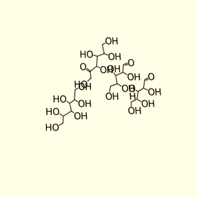 O=C(CO)C(O)C(O)C(O)CO.O=CC(O)C(O)C(O)CO.O=CC(O)C(O)C(O)CO.OCC(O)C(O)C(O)C(O)CO